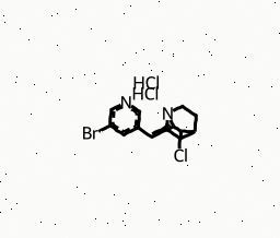 Cl.Cl.ClC1/C(=C/c2cncc(Br)c2)N2CCC1CC2